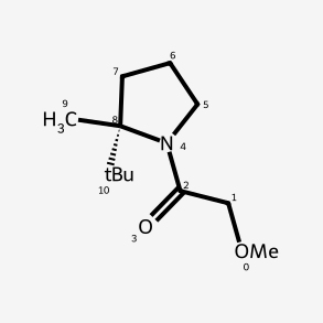 COCC(=O)N1CCC[C@@]1(C)C(C)(C)C